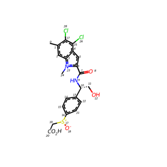 Cc1cc2c(cc(C(=O)N[C@H](CO)c3ccc([S@@+]([O-])CC(=O)O)cc3)n2C)c(Cl)c1Cl